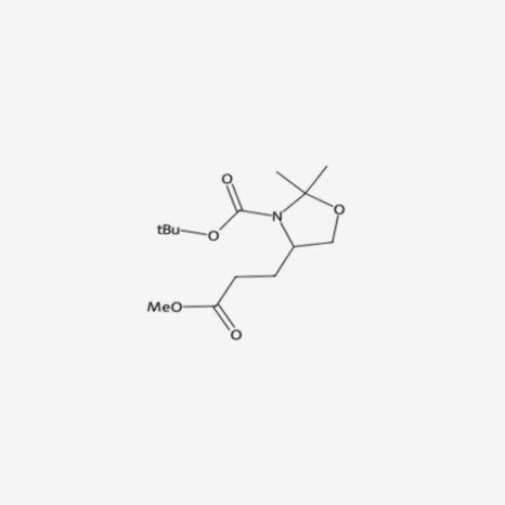 COC(=O)CCC1COC(C)(C)N1C(=O)OC(C)(C)C